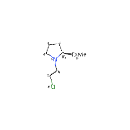 CO[C@@H]1CCCN1CCCl